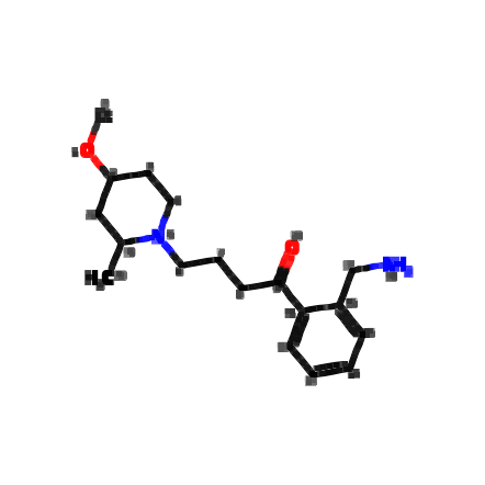 CCOC1CCN(CCCC(=O)c2ccccc2CN)C(C)C1